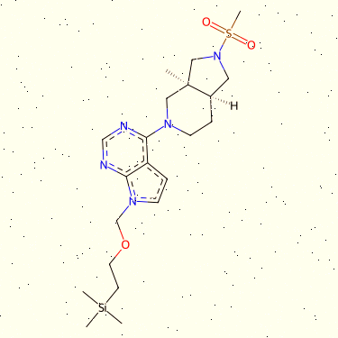 C[C@@]12CN(c3ncnc4c3ccn4COCC[Si](C)(C)C)CC[C@@H]1CN(S(C)(=O)=O)C2